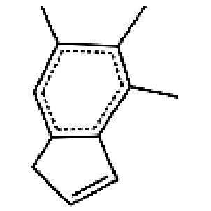 Cc1cc2c(c(C)c1C)C=CC2